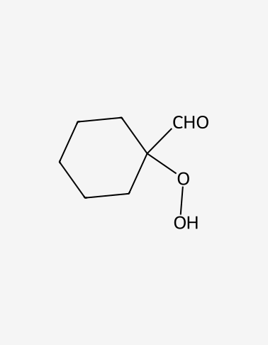 O=CC1(OO)CCCCC1